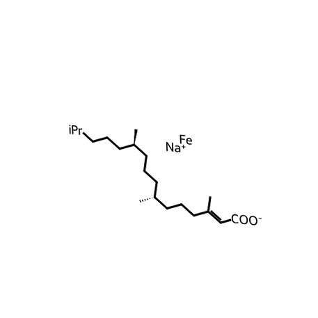 C/C(=C\C(=O)[O-])CCC[C@H](C)CCC[C@H](C)CCCC(C)C.[Fe].[Na+]